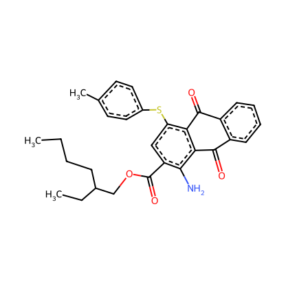 CCCCC(CC)COC(=O)c1cc(Sc2ccc(C)cc2)c2c(c1N)C(=O)c1ccccc1C2=O